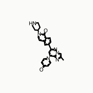 Cc1cn2nc(-c3ccc4c(=O)n(C5CCNCC5)ccc4c3)cc(-n3ccc(=O)cc3)c2n1